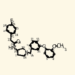 COc1ccccc1Oc1cccc(CN2CCC(NC(=O)Cc3ccc(F)cc3)C2)c1